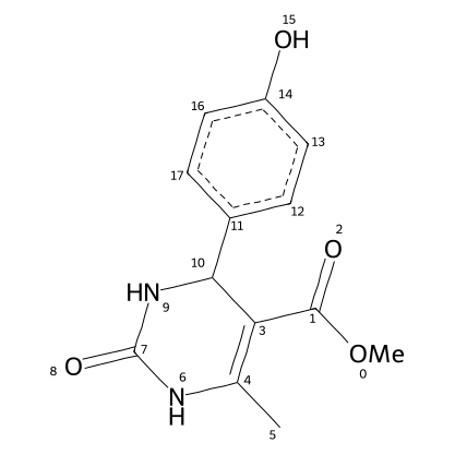 COC(=O)C1=C(C)NC(=O)NC1c1ccc(O)cc1